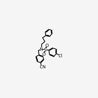 N#Cc1ccc(CN(CCCc2ccccc2)S(=O)(=O)c2ccc(Cl)cc2)cc1